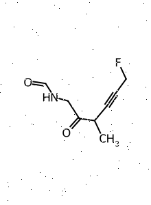 CC(C#CCF)C(=O)CNC=O